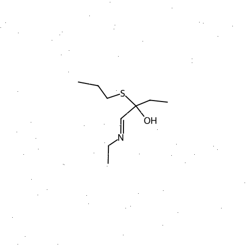 CCCSC(O)(C=NCC)CC